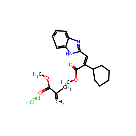 C=C(C)C(=O)OC.COC(=O)C(=Cc1nc2ccccc2[nH]1)C1CCCCC1.Cl.Cl